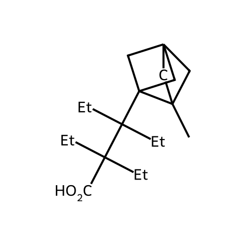 CCC(CC)(C(=O)O)C(CC)(CC)C12CC3(CC1(C)C3)C2